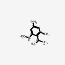 CNc1cc(N)cc(C)c1C(C)C